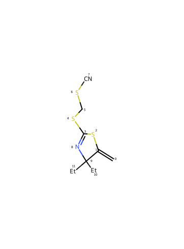 C=C1SC(SCSC#N)=NC1(CC)CC